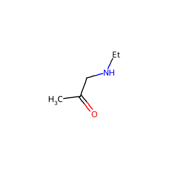 [CH2]CNCC(C)=O